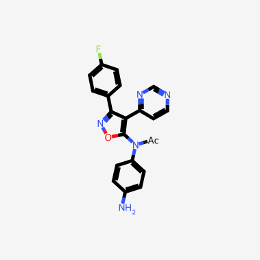 CC(=O)N(c1ccc(N)cc1)c1onc(-c2ccc(F)cc2)c1-c1ccncn1